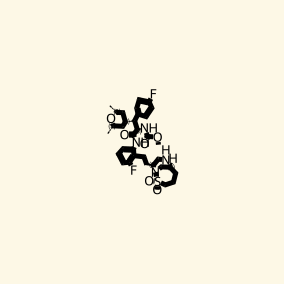 COC(=O)N[C@H](C(=O)Nc1cccc(F)c1CC[C@H]1CN[C@@H]2CCCS(=O)(=O)N1C2)C(c1ccc(F)cc1)[C@H]1C[C@@H](C)O[C@@H](C)C1